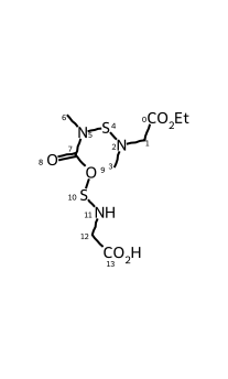 CCOC(=O)CN(C)SN(C)C(=O)OSNCC(=O)O